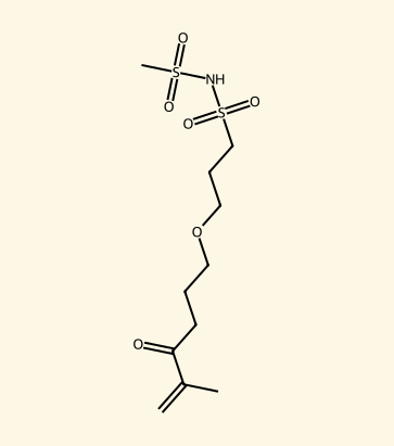 C=C(C)C(=O)CCCOCCCS(=O)(=O)NS(C)(=O)=O